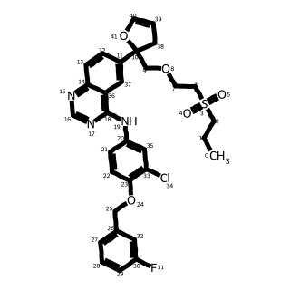 CCCS(=O)(=O)CCOCC1(c2ccc3ncnc(Nc4ccc(OCc5cccc(F)c5)c(Cl)c4)c3c2)CC=CO1